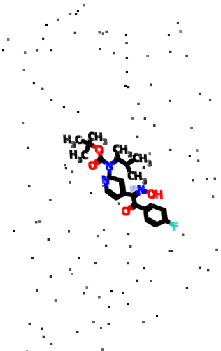 CC(C)C(C)N(C(=O)OC(C)(C)C)c1cc(/C(=N/O)C(=O)c2ccc(F)cc2)ccn1